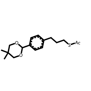 CC(=O)SCCCc1ccc(C2OCC(C)(C)CO2)cc1